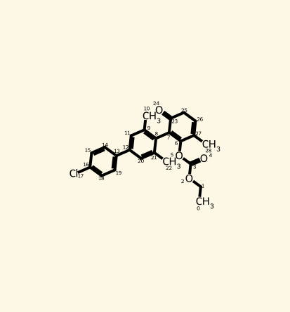 CCOC(=O)OC1=C(c2c(C)cc(-c3ccc(Cl)cc3)cc2C)C(=O)CC=C1C